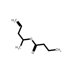 C=CCC(C)OC(=O)CCC